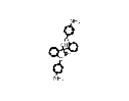 CC(C)C(C)(c1ccccc1Oc1ccc(N)cc1)c1ccccc1Oc1ccc(N)cc1